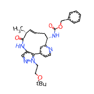 C[C@@H]1/C=C/C[C@H](NC(=O)OCc2ccccc2)c2cc(ccn2)-c2c(cnn2CCOC(C)(C)C)NC1=O